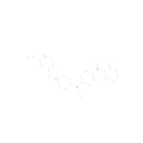 Cc1cccnc1C(=O)C1CCN(C(=O)C2CCN(Cc3ccnc(N)c3)CC2)CC1